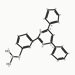 OB(O)Oc1cccc(-c2nc(-c3ccccc3)cc(-c3ccccc3)n2)c1